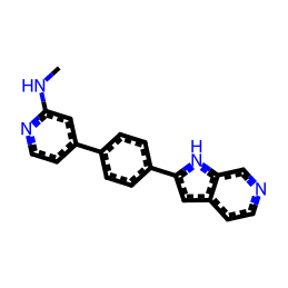 CNc1cc(-c2ccc(-c3cc4ccncc4[nH]3)cc2)ccn1